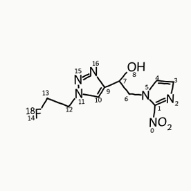 O=[N+]([O-])c1nccn1CC(O)c1cn(CC[18F])nn1